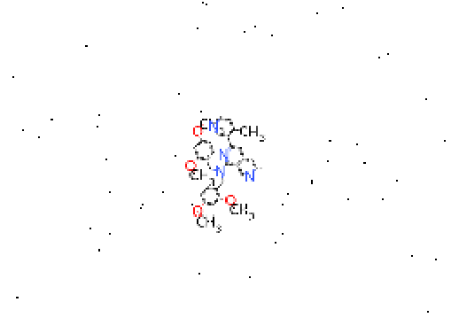 COc1ccc(CN(Cc2ccc(OC)cc2OC)c2nc(-c3cnccc3C)cc3c[c]ncc23)c(OC)c1